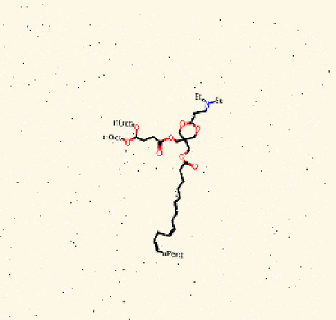 CCCCC/C=C\C/C=C\CCCCCCCC(=O)OCC1(COC(=O)CCC(OCCCCCCCC)OCCCCCCCC)COC(CCN(CC)CC)OC1